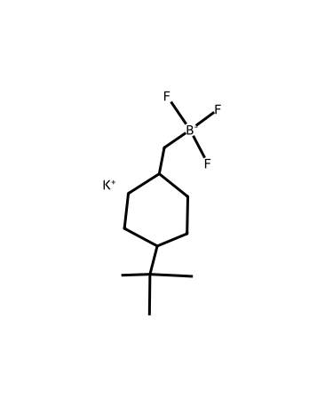 CC(C)(C)C1CCC(C[B-](F)(F)F)CC1.[K+]